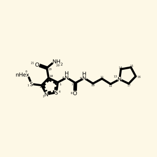 CCCCCCSc1nsc(NC(=O)NCCCN2CCCC2)c1C(N)=O